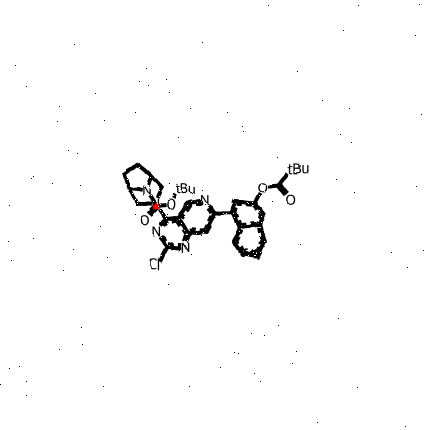 CC(C)(C)OC(=O)N1C2CCC1CN(c1nc(Cl)nc3cc(-c4cc(OC(=O)C(C)(C)C)cc5ccccc45)ncc13)C2